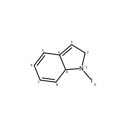 IN1CC=C2C=CC=CC21